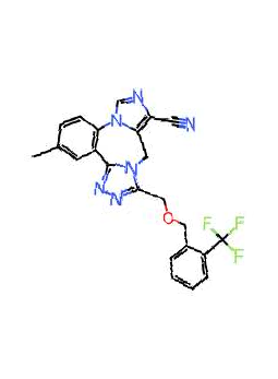 Cc1ccc2c(c1)-c1nnc(COCc3ccccc3C(F)(F)F)n1Cc1c(C#N)ncn1-2